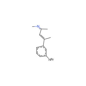 CCCc1cccc(/C(C)=C/C(C)=N\C)c1